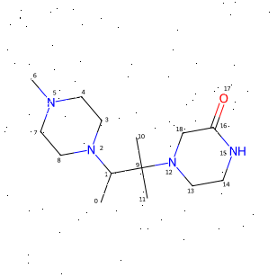 CC(N1CCN(C)CC1)C(C)(C)N1CCNC(=O)C1